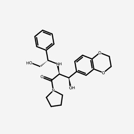 O=C([C@@H](N[C@H](CO)c1ccccc1)[C@H](O)c1ccc2c(c1)OCCO2)N1CCCC1